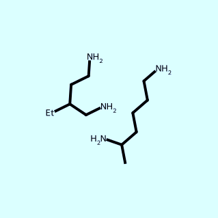 CC(N)CCCCN.CCC(CN)CCN